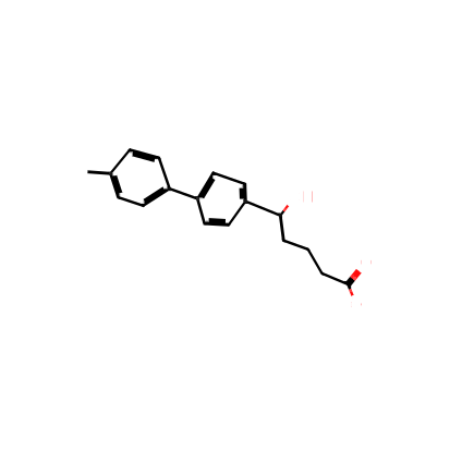 Cc1ccc(-c2ccc(C(O)CCCC(=O)O)cc2)cc1